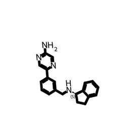 Nc1cnc(-c2cccc(CN[C@H]3CCc4ccccc43)c2)cn1